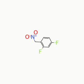 O=[N+]([O-])Cc1ccc(F)cc1F